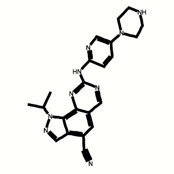 CC(C)n1ncc2c(C#N)cc3cnc(Nc4ccc(N5CCNCC5)cn4)nc3c21